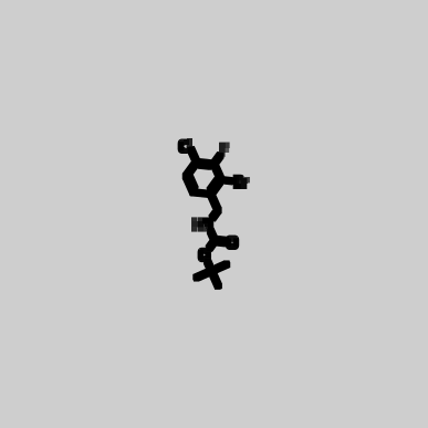 CC(C)(C)OC(=O)NCc1ccc(Cl)c(F)c1Br